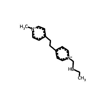 CCBC[n+]1ccc(CCc2cc[n+](C)cc2)cc1